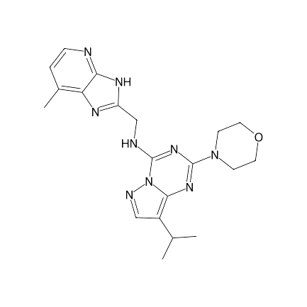 Cc1ccnc2[nH]c(CNc3nc(N4CCOCC4)nc4c(C(C)C)cnn34)nc12